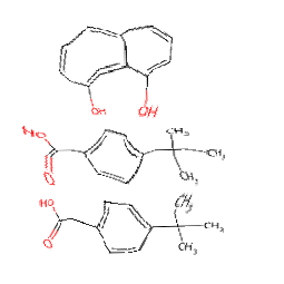 CC(C)(C)c1ccc(C(=O)O)cc1.CC(C)(C)c1ccc(C(=O)O)cc1.Oc1cccc2cccc(O)c12